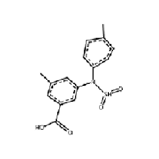 Cc1ccc(N(c2cc(C)cc(C(=O)O)c2)[SH](=O)=O)cc1